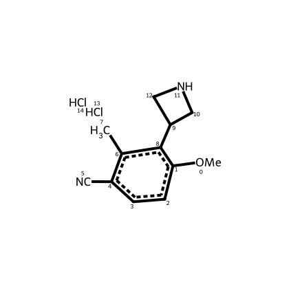 COc1ccc(C#N)c(C)c1C1CNC1.Cl.Cl